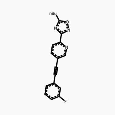 CCCCc1nc(-c2ccc(C#Cc3cccc(F)c3)cn2)no1